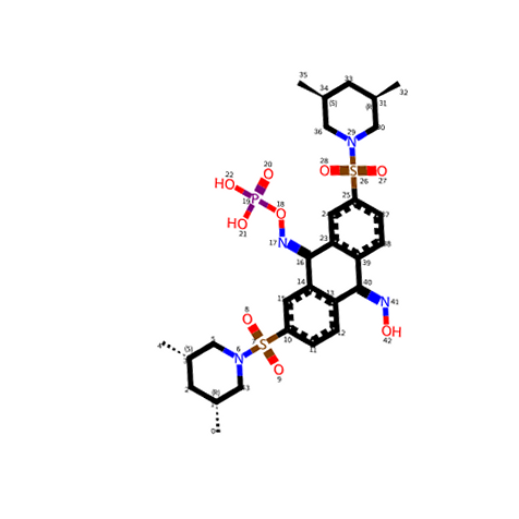 C[C@@H]1C[C@H](C)CN(S(=O)(=O)c2ccc3c(c2)C(=NOP(=O)(O)O)c2cc(S(=O)(=O)N4C[C@H](C)C[C@H](C)C4)ccc2C3=NO)C1